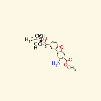 COC(=O)c1cc2oc3ccc(CO[Si](C)(C)C(C)(C)C)cc3c2cc1N